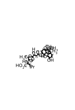 Cc1ccc(O)c2c1[C@]13CCN(C)[C@H](C)[C@]1(O)CC=C(OC(=O)C[C@H](O)C(=O)O[C@@H](C)C(=O)N[C@@H](CC(C)C)C(=O)O)[C@@H]3O2